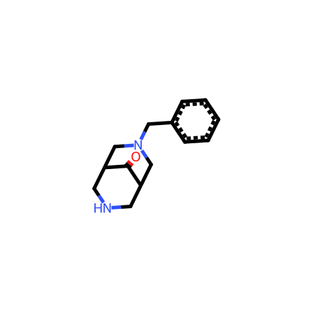 O=C1C2CNCC1CN(Cc1ccccc1)C2